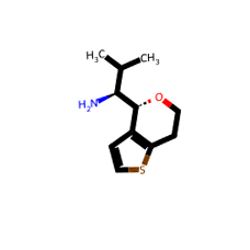 CC(C)[C@H](N)[C@@H]1OCCc2sccc21